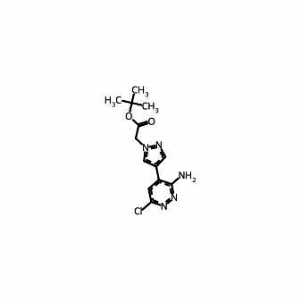 CC(C)(C)OC(=O)Cn1cc(-c2cc(Cl)nnc2N)cn1